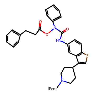 CCCC(C)N1CCC(c2csc3ccc(NC(=O)N(OC(=O)CCc4ccccc4)c4ccccc4)cc23)CC1